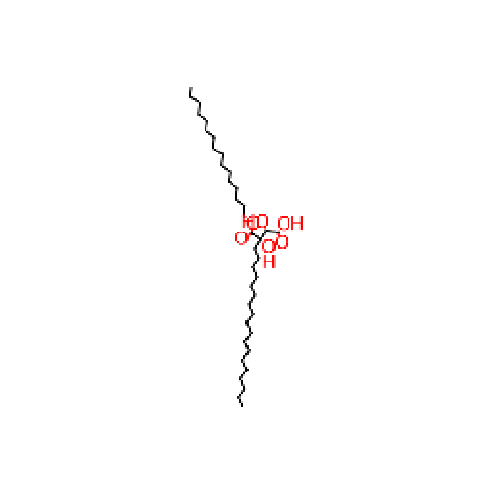 CCCCCCCCCCCCCCCCCCC(O)(C(=O)OCCCCCCCCCCCCCCCC)C(O)C(=O)O